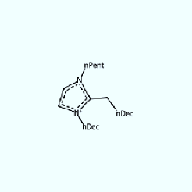 CCCCCCCCCCCc1n(CCCCC)cc[n+]1CCCCCCCCCC